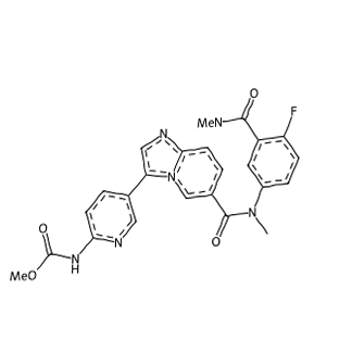 CNC(=O)c1cc(N(C)C(=O)c2ccc3ncc(-c4ccc(NC(=O)OC)nc4)n3c2)ccc1F